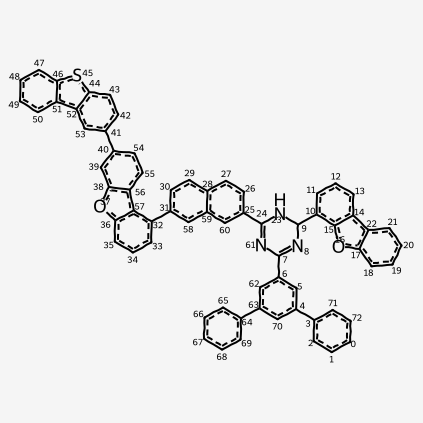 c1ccc(-c2cc(C3=NC(c4cccc5c4oc4ccccc45)NC(c4ccc5ccc(-c6cccc7oc8cc(-c9ccc%10sc%11ccccc%11c%10c9)ccc8c67)cc5c4)=N3)cc(-c3ccccc3)c2)cc1